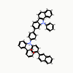 c1ccc(-c2ccccc2N(c2ccc(-c3ccc4ccccc4c3)cc2)c2ccc(-c3ccc4c5ccc6ccccc6c5n(-c5ccccc5)c4c3)cc2)cc1